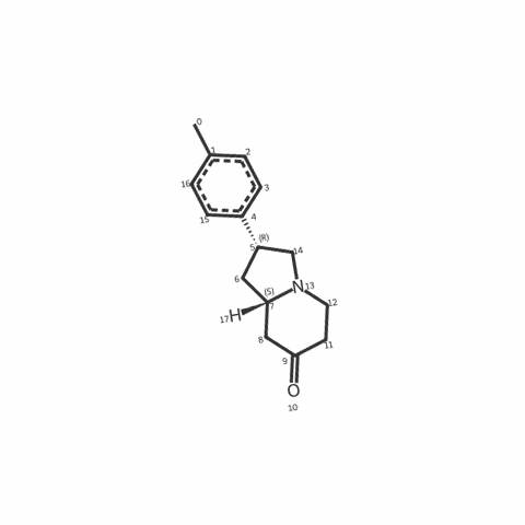 Cc1ccc([C@H]2C[C@H]3CC(=O)CCN3C2)cc1